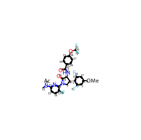 COc1cc(F)c([C@@H]2CN(c3nc(N(C)C(C)=O)ccc3F)C(=O)[C@H]2NC(=O)c2ccc(OC(F)F)cc2)c(F)c1